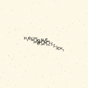 CCCCCCC[C@H]1CC[C@@H]([C@H]2CC[C@H](C(=O)OC3CCC(CCC)CC3)CC2)[C@H](C)C1